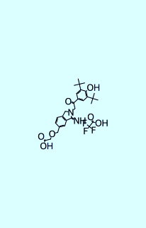 CC(C)(C)c1cc(C(=O)CN2Cc3ccc(COCC(=O)O)cc3C2=N)cc(C(C)(C)C)c1O.O=C(O)C(F)(F)F